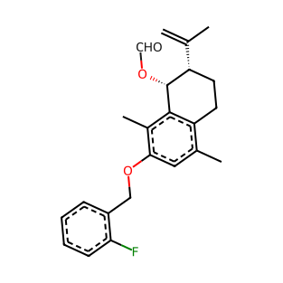 C=C(C)[C@@H]1CCc2c(C)cc(OCc3ccccc3F)c(C)c2[C@@H]1OC=O